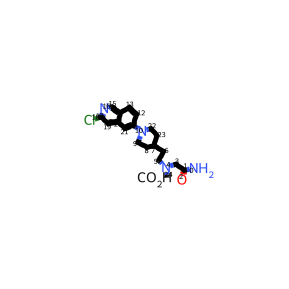 NC(=O)CN(CCC1CCN(c2ccc3cnc(Cl)cc3c2)CC1)C(=O)O